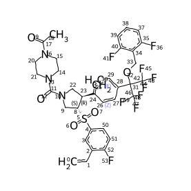 C=Cc1cc(S(=O)(=O)[C@@H]2CN(C(=O)N3CCN(C(C)=O)CC3)C[C@H]2C(=C)/C=C\C(=C/C)C(OCc2c(F)cccc2F)(C(F)(F)F)C(F)(F)F)ccc1F